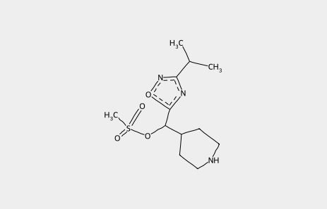 CC(C)c1noc(C(OS(C)(=O)=O)C2CCNCC2)n1